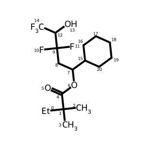 CCC(C)(C)C(=O)OC(CC(F)(F)C(O)C(F)(F)F)C1CCCCC1